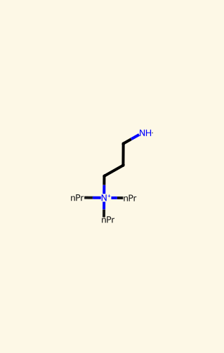 CCC[N+](CCC)(CCC)CCC[NH]